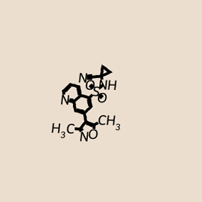 Cc1noc(C)c1-c1cc(S(=O)(=O)NC2(C#N)CC2)c2cccnc2c1